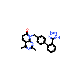 Cc1nc(C)c2ccc(=O)n(Cc3ccc(-c4ccccc4-c4nnn[nH]4)cc3)c2n1